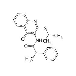 CC(C)Sc1nc2ccccc2c(=O)n1NC(=O)C(C)c1ccccc1